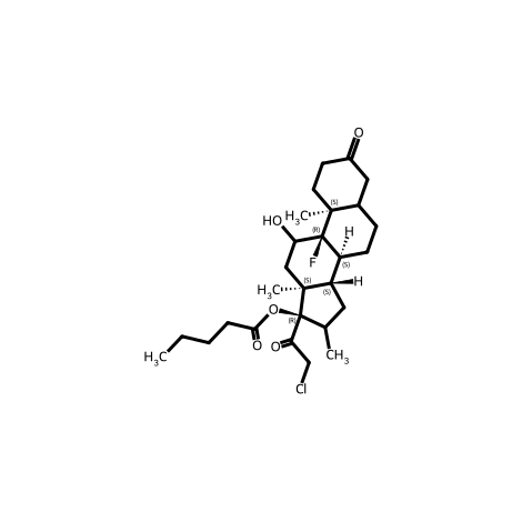 CCCCC(=O)O[C@]1(C(=O)CCl)C(C)C[C@H]2[C@@H]3CCC4CC(=O)CC[C@]4(C)[C@@]3(F)C(O)C[C@@]21C